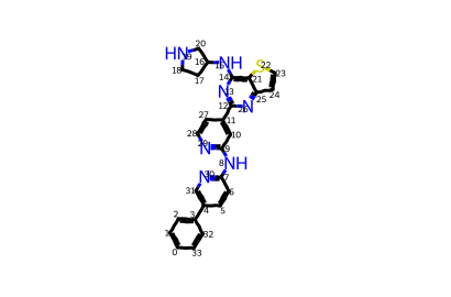 c1ccc(-c2ccc(Nc3cc(-c4nc(NC5CCNC5)c5sccc5n4)ccn3)nc2)cc1